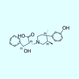 C[C@H]1CN(C[C@@H](C(=O)O)[C@H](O)c2ccccc2)CC[C@@]1(C)c1cccc(O)c1